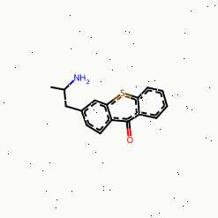 CC(N)Cc1ccc2c(=O)c3ccccc3sc2c1